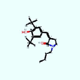 CCCCN1CCC(=Cc2cc(C(C)(C)C)c(O)c(C(C)(C)C)c2)C1=O